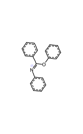 c1ccc(/N=C(\Oc2ccccc2)c2ccccc2)cc1